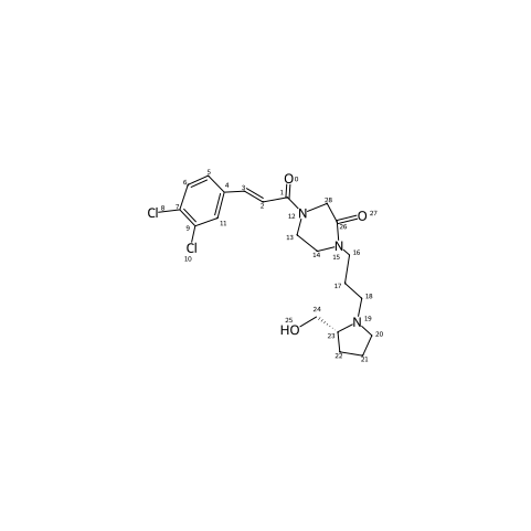 O=C(C=Cc1ccc(Cl)c(Cl)c1)N1CCN(CCCN2CCC[C@@H]2CO)C(=O)C1